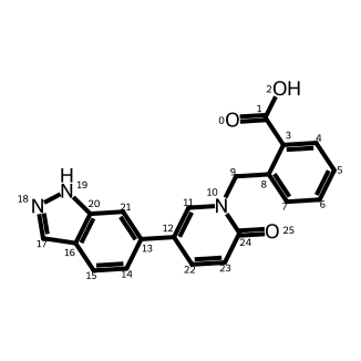 O=C(O)c1ccccc1Cn1cc(-c2ccc3cn[nH]c3c2)ccc1=O